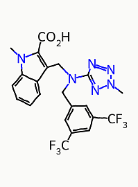 Cn1nnc(N(Cc2cc(C(F)(F)F)cc(C(F)(F)F)c2)Cc2c(C(=O)O)n(C)c3ccccc23)n1